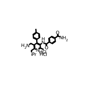 Cc1ccc(-c2c(CN)c(CC(C)C)nc(C)c2NC(=O)c2ccc(C(N)=O)cc2)cc1.Cl.Cl